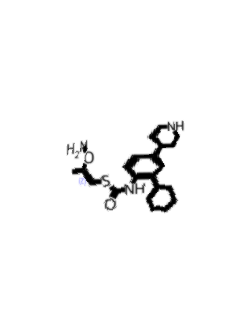 C/C(=C/SC(=O)Nc1ccc(C2CCNCC2)cc1C1=CCCCC1)ON